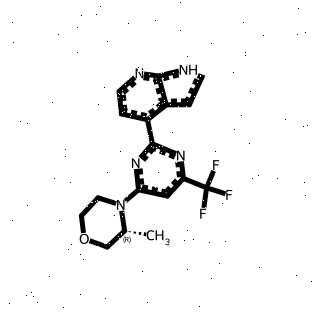 C[C@@H]1COCCN1c1cc(C(F)(F)F)nc(-c2ccnc3[nH]ccc23)n1